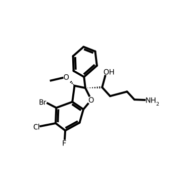 CO[C@H]1c2c(cc(F)c(Cl)c2Br)O[C@@]1(c1ccccc1)C(O)CCCN